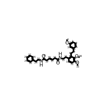 COc1cccc(CCc2c(CCNC(=O)C/C=C/CC(=O)NCCc3ccccc3)ccc(OC)c2OC)c1